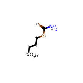 NC(=S)SCCCS(=O)(=O)O